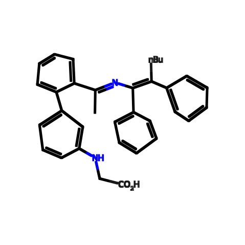 CCCC/C(=C(\N=C(/C)c1ccccc1-c1cccc(NCC(=O)O)c1)c1ccccc1)c1ccccc1